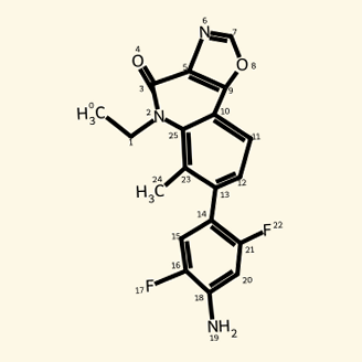 CCn1c(=O)c2ncoc2c2ccc(-c3cc(F)c(N)cc3F)c(C)c21